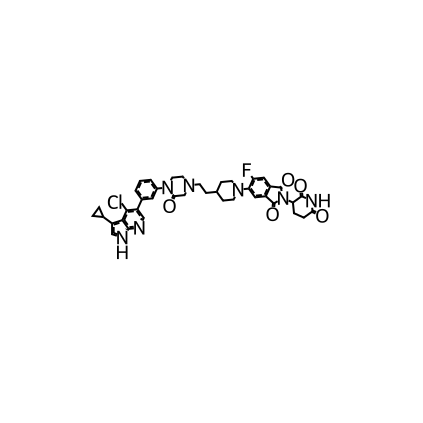 O=C1CCC(N2C(=O)c3cc(F)c(N4CCC(CCN5CCN(c6cccc(-c7cnc8[nH]cc(C9CC9)c8c7Cl)c6)C(=O)C5)CC4)cc3C2=O)C(=O)N1